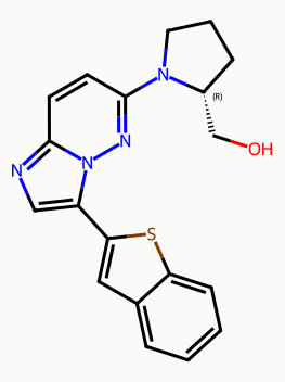 OC[C@H]1CCCN1c1ccc2ncc(-c3cc4ccccc4s3)n2n1